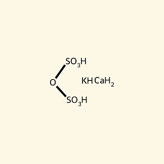 O=S(=O)(O)OS(=O)(=O)O.[CaH2].[KH]